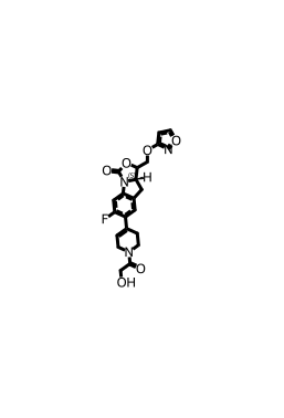 O=C(CO)N1CC=C(c2cc3c(cc2F)N2C(=O)OC(COc4ccon4)[C@@H]2C3)CC1